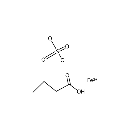 CCCC(=O)O.O=S(=O)([O-])[O-].[Fe+2]